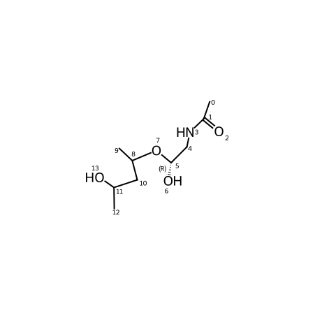 CC(=O)NC[C@H](O)OC(C)CC(C)O